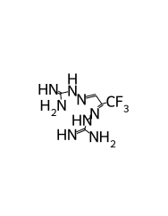 N=C(N)NN=CC(=NNC(=N)N)C(F)(F)F